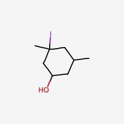 CC1CC(O)CC(C)(I)C1